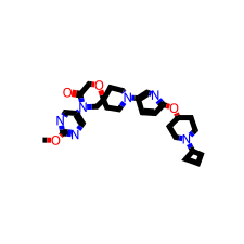 COc1ncc(N2CC3(CCN(c4ccc(OC5CCN(C6CCC6)CC5)nc4)CC3)OCC2=O)cn1